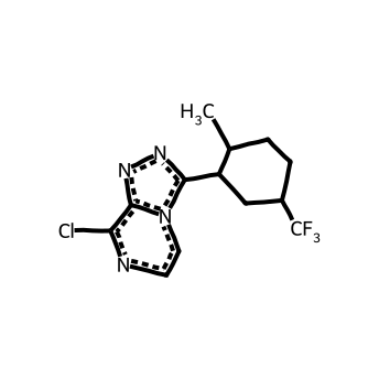 CC1CCC(C(F)(F)F)CC1c1nnc2c(Cl)nccn12